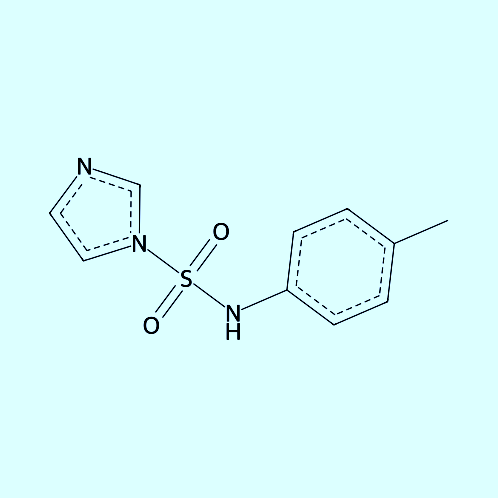 Cc1ccc(NS(=O)(=O)n2ccnc2)cc1